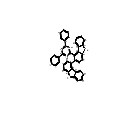 c1ccc(-c2nc(-c3ccccc3)nc(-c3c(-c4cccc5oc6ccccc6c45)ccc4oc5ccccc5c34)n2)cc1